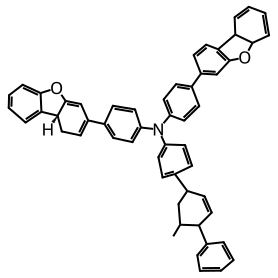 CC1CC(c2ccc(N(c3ccc(C4=CC[C@H]5C(=C4)Oc4ccccc45)cc3)c3ccc(-c4ccc5c(c4)OC4C=CC=CC54)cc3)cc2)C=CC1c1ccccc1